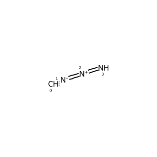 [CH].[N-]=[N+]=N